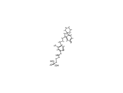 O=P(O)(O)CCCNCc1cc(F)c(SCCCCC2(c3ccc(F)cc3)CCCCC2)cn1